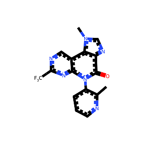 Cc1ncccc1-n1c(=O)c2ncn(C)c2c2cnc(C(F)(F)F)nc21